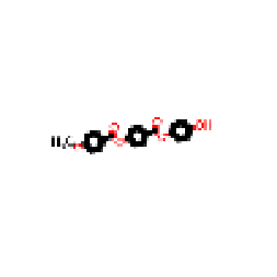 COc1ccc(C(=O)Oc2ccc(C(=O)Oc3ccc(O)cc3)cc2)cc1